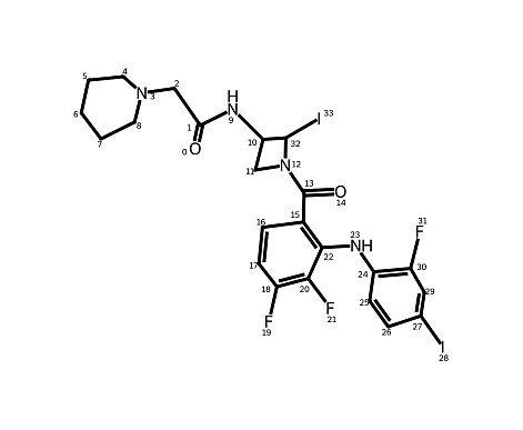 O=C(CN1CCCCC1)NC1CN(C(=O)c2ccc(F)c(F)c2Nc2ccc(I)cc2F)C1I